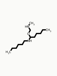 CCCCCCNC(CCCCC)OCNC